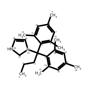 CCCC(c1c(C)cc(C)cc1C)(c1c(C)cc(C)cc1C)N1[C]NC=C1